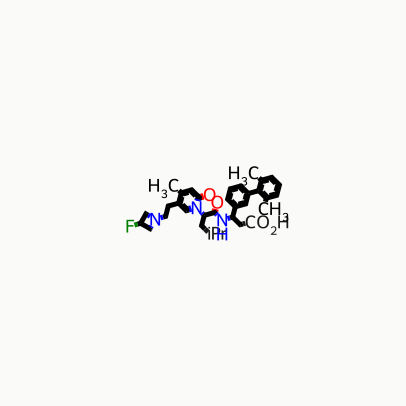 Cc1cc(=O)n(C(CC(C)C)C(=O)NC(CC(=O)O)c2cccc(-c3c(C)cccc3C)c2)cc1CCN1CC(F)C1